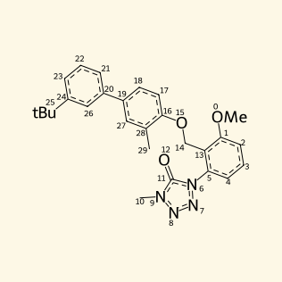 COc1cccc(-n2nnn(C)c2=O)c1COc1ccc(-c2cccc(C(C)(C)C)c2)cc1C